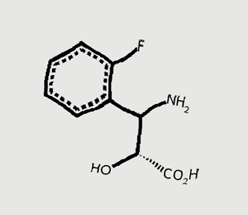 NC(c1ccccc1F)[C@@H](O)C(=O)O